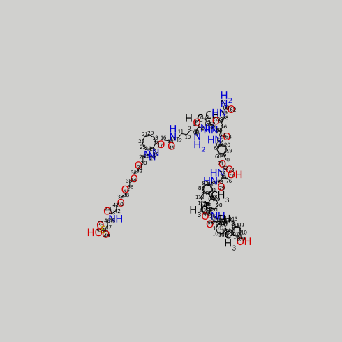 CC(C)[C@H](NC(=O)[C@H](N)CCCCNC(=O)COC1CCCCCc2c1nnn2CCOCCOCCOCCOCCC(=O)NCCS(=O)(=O)O)C(=O)N[C@@H](CCCNC(N)=O)C(=O)Nc1ccc(COC(=O)N[C@@H](CO)C(=O)Nc2ccc3c(c2)[C@@]2(C)CCC[C@](C)(C(=O)NC(=O)[C@@]4(C)CCC[C@]5(C)c6cc(O)ccc6CC[C@@H]45)[C@@H]2CC3)cc1